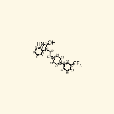 OC1Nc2ccccc2N1CCN1CCN(c2cccc(C(F)(F)F)c2)CC1